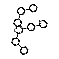 c1ccc(-c2cccc(-c3ccc4nc(-c5cccc(-c6ccccc6)c5)cc(-c5ccc(-c6ccccn6)cc5)c4c3)c2)cc1